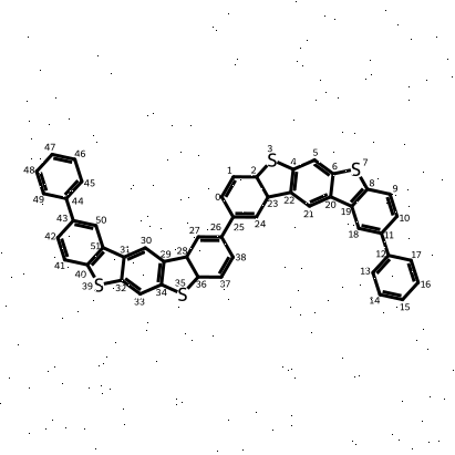 C1=CC2Sc3cc4sc5ccc(-c6ccccc6)cc5c4cc3C2C=C1C1=CC2c3cc4c(cc3SC2C=C1)sc1ccc(-c2ccccc2)cc14